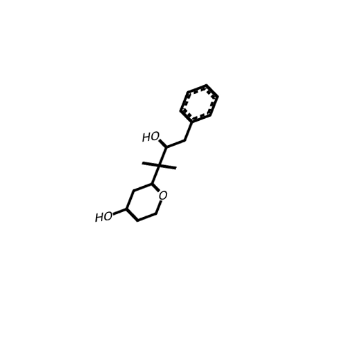 CC(C)(C(O)Cc1ccccc1)C1CC(O)CCO1